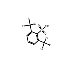 O=S(=O)(O)c1c(C(Cl)(Cl)Cl)cccc1C(Cl)(Cl)Cl